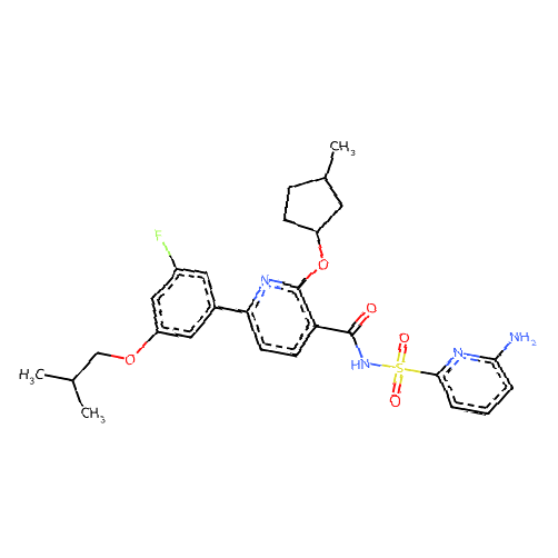 CC(C)COc1cc(F)cc(-c2ccc(C(=O)NS(=O)(=O)c3cccc(N)n3)c(OC3CCC(C)C3)n2)c1